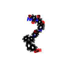 O=C1CC[C@H](N2Cc3cc4c(cc3C2=O)OCC42CCN(CC3COC4(CCN(c5ccc([C@H]6c7ccc(O)cc7CC[C@H]6c6ccccc6)cc5)CC4)C3)CC2)C(=O)N1